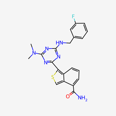 CN(C)c1nc(NCc2cccc(F)c2)nc(-c2scc3c(C(N)=O)cccc23)n1